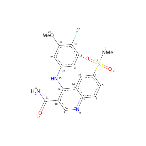 CNS(=O)(=O)c1ccc2ncc(C(N)=O)c(Nc3ccc(F)c(OC)c3)c2c1